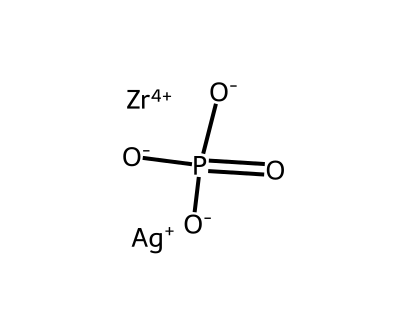 O=P([O-])([O-])[O-].[Ag+].[Zr+4]